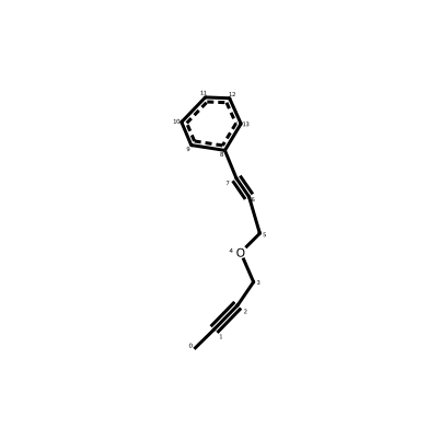 CC#CCOCC#Cc1ccccc1